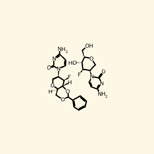 Nc1ccn([C@@H]2CO[C@@H]3COC(c4ccccc4)O[C@H]3[C@@H]2F)c(=O)n1.Nc1ccn([C@@H]2CO[C@H](CO)[C@@H](O)[C@@H]2F)c(=O)n1